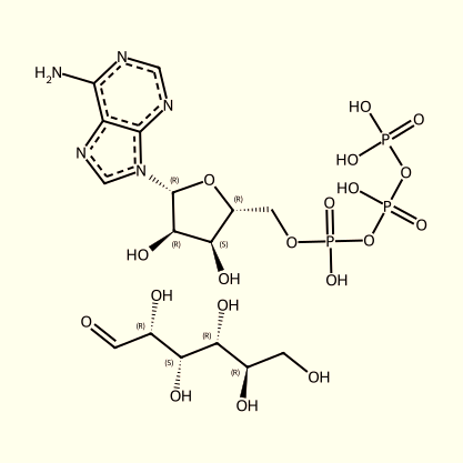 Nc1ncnc2c1ncn2[C@@H]1O[C@H](COP(=O)(O)OP(=O)(O)OP(=O)(O)O)[C@@H](O)[C@H]1O.O=C[C@H](O)[C@@H](O)[C@H](O)[C@H](O)CO